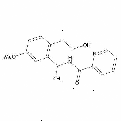 COc1ccc(CCO)c(C(C)NC(=O)c2ccccn2)c1